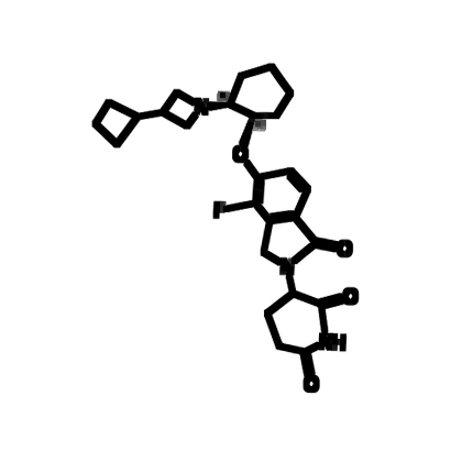 O=C1CCC(N2Cc3c(ccc(O[C@@H]4CCCC[C@@H]4N4CC(C5CCC5)C4)c3F)C2=O)C(=O)N1